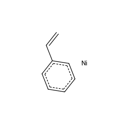 C=Cc1ccccc1.[Ni]